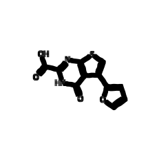 O=C(O)c1nc2scc(-c3ccco3)c2c(=O)[nH]1